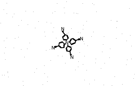 N#Cc1ccc([N+](c2ccc(C#N)cc2)(c2ccc(C#N)cc2)c2ccc(C#N)cc2)cc1